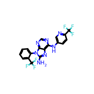 Nc1nc2c(Nc3ccc(C(F)(F)F)nc3)ncnc2n1-c1ccccc1C(F)(F)F